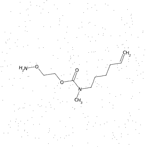 C=CCCCCN(C)C(=O)OCCON